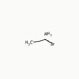 CCBr.[AlH3]